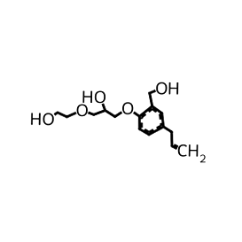 C=CCc1ccc(OCC(O)COCCO)c(CO)c1